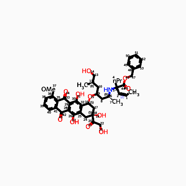 C/C=C\C(CCC)(N[C@H](C)CC(C[C@@H](C)CO)O[C@H]1C[C@](O)(C(=O)CO)Cc2c(O)c3c(c(O)c21)C(=O)c1c(OC)cccc1C3=O)C(=O)OCc1ccccc1